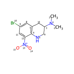 CN(C)C1CNc2c(cc(Br)cc2[N+](=O)[O-])C1